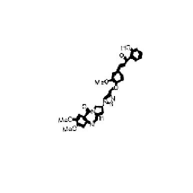 COc1cc2c(cc1OC)C(=O)N1C[C@@H](n3cc(COc4ccc(/C=C/C(=O)c5ccccc5O)cc4OC)nn3)C[C@H]1C=N2